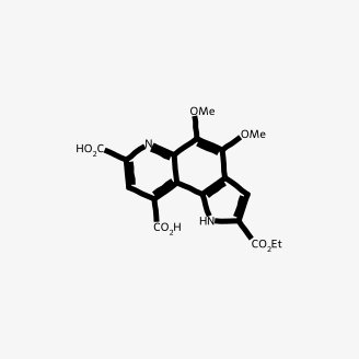 CCOC(=O)c1cc2c(OC)c(OC)c3nc(C(=O)O)cc(C(=O)O)c3c2[nH]1